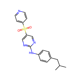 CC(C)Cc1ccc(Nc2ncc(S(=O)(=O)c3ccncc3)cn2)cc1